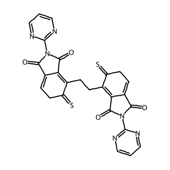 O=C1C2=CCC(=S)C(CCC3=C4C(=O)N(c5ncccn5)C(=O)C4=CCC3=S)=C2C(=O)N1c1ncccn1